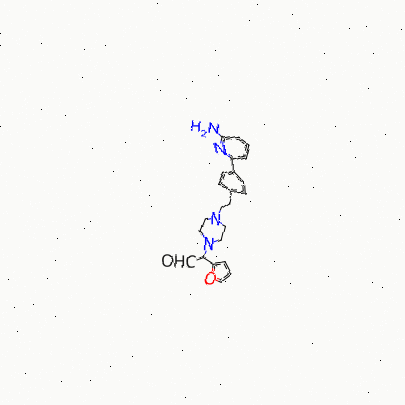 Nc1cccc(-c2ccc(CCN3CCN(C(C=O)c4ccco4)CC3)cc2)n1